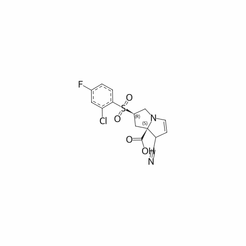 N#CC1C=CN2C[C@H](S(=O)(=O)c3ccc(F)cc3Cl)C[C@@]12C(=O)O